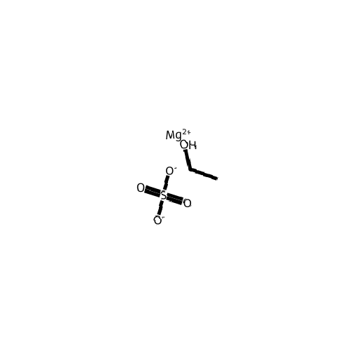 CCO.O=S(=O)([O-])[O-].[Mg+2]